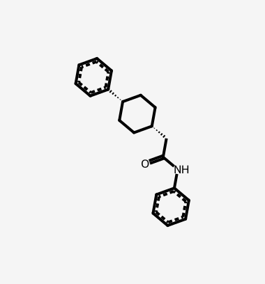 O=C(C[C@H]1CC[C@@H](c2ccccc2)CC1)Nc1ccccc1